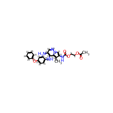 CC(=O)OCCOC(=O)Nc1cn2ncc(N)c(Nc3ccc(Oc4ccccc4)cc3)c2c1C